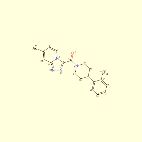 CC(=O)c1ccn2c(C(=O)N3CCC(c4ccccc4C(F)(F)F)CC3)nnc2c1